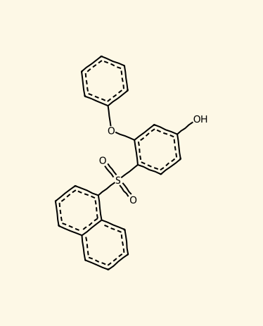 O=S(=O)(c1ccc(O)cc1Oc1ccccc1)c1cccc2ccccc12